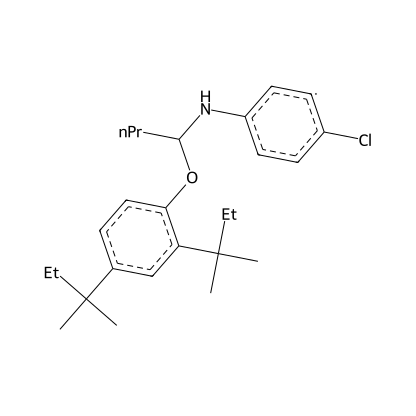 CCCC(Nc1c[c]c(Cl)cc1)Oc1ccc(C(C)(C)CC)cc1C(C)(C)CC